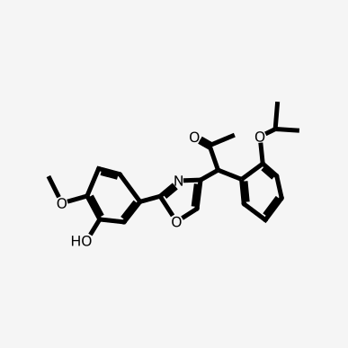 COc1ccc(-c2nc(C(C(C)=O)c3ccccc3OC(C)C)co2)cc1O